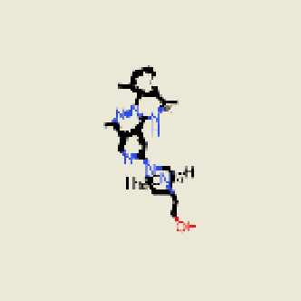 Cc1cccc([C@@H](C)Nc2nnc(C)c3cnc(N4C[C@H]5CC[C@@H]4CN5CCO)cc23)c1C